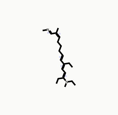 CCC(/C=C/CCC/C=C(C)\C=N\C)=C\C=C(/CC)N(C)CC